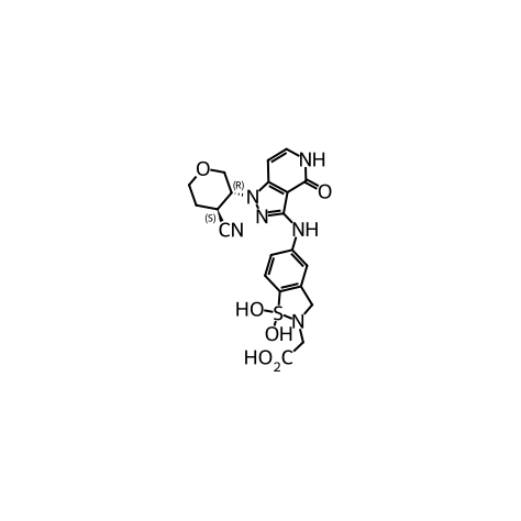 N#C[C@H]1CCOC[C@@H]1n1nc(Nc2ccc3c(c2)CN(CC(=O)O)S3(O)O)c2c(=O)[nH]ccc21